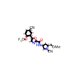 COC[C@@H]1C[C@@H](NC(=O)c2ncc(-c3cc(C#N)ccc3OC(F)(F)F)o2)CN1C#N